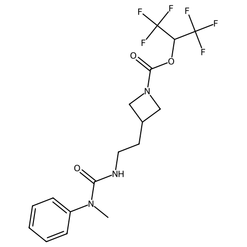 CN(C(=O)NCCC1CN(C(=O)OC(C(F)(F)F)C(F)(F)F)C1)c1ccccc1